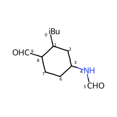 CCC(C)C1CC(NC=O)CCC1C=O